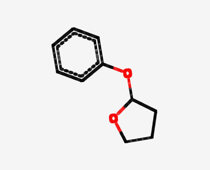 c1ccc(OC2CCCO2)cc1